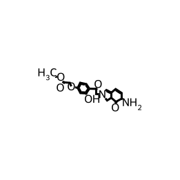 CCOC(=O)COc1ccc(C(=O)CN2C=C3C=CC(N)C(=O)C3C2)c(O)c1